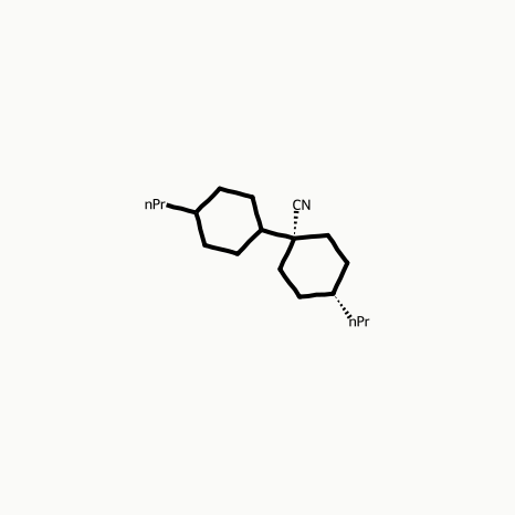 CCCC1CCC([C@]2(C#N)CC[C@@H](CCC)CC2)CC1